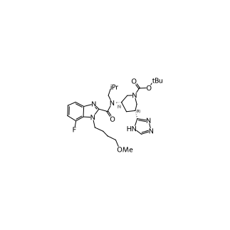 COCCCCn1c(C(=O)N(CC(C)C)[C@H]2C[C@@H](c3nnc[nH]3)CN(C(=O)OC(C)(C)C)C2)nc2cccc(F)c21